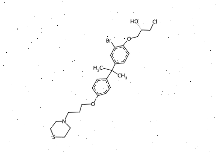 CC(C)(c1ccc(OCCCN2CCSCC2)cc1)c1ccc(OC[C@H](O)CCl)c(Br)c1